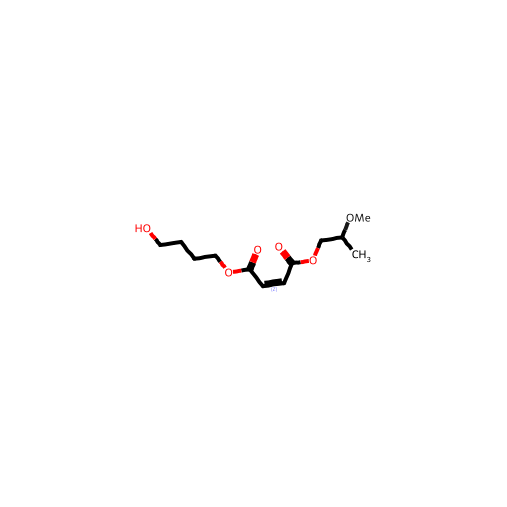 COC(C)COC(=O)/C=C\C(=O)OCCCCO